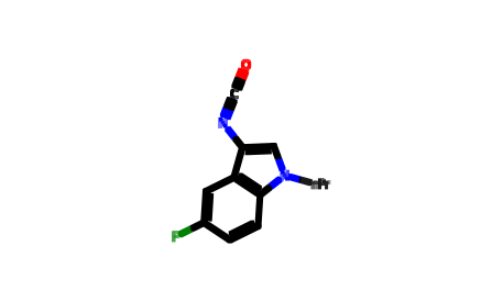 [CH2]CCn1cc(N=C=O)c2cc(F)ccc21